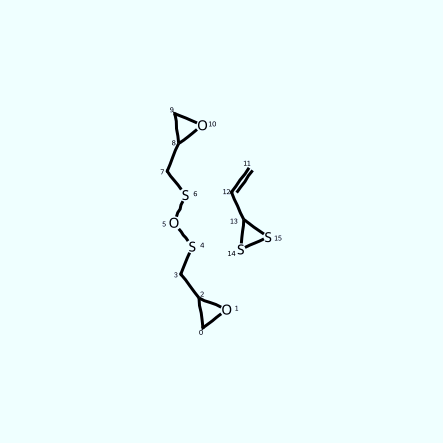 C1OC1CSOSCC1CO1.C=CC1SS1